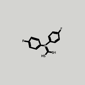 Fc1ccc(S(=C(S)S)c2ccc(F)cc2)cc1